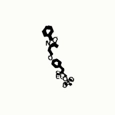 CCO[C@H](COS(C)(=O)=O)Cc1ccc(OCCc2nc(-c3ccccc3)oc2C)cc1